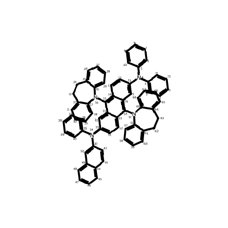 c1ccc(N(c2ccccc2)c2ccc3c(N4c5ccccc5CCc5ccccc54)c4cc(N(c5ccccc5)c5ccc6ccccc6c5)ccc4c(N4c5ccccc5CCc5ccccc54)c3c2)cc1